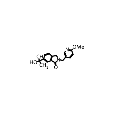 COc1ccc(CN2Cc3ccc(C(C)(C)O)cc3C2=O)cn1